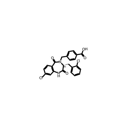 O=C(O)c1ccc(CN2C(=O)c3ccc(Cl)cc3NC(=O)[C@H]2Cc2ccccc2Cl)cc1